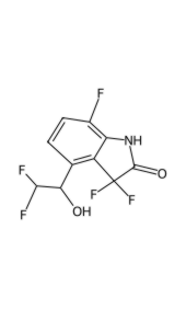 O=C1Nc2c(F)ccc(C(O)C(F)F)c2C1(F)F